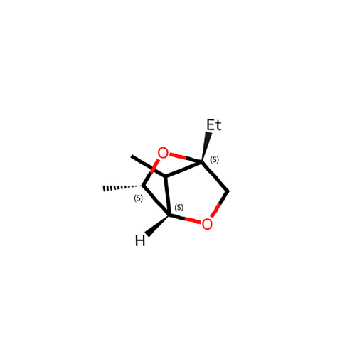 CC[C@@]12CO[C@@H](C1C)[C@H](C)O2